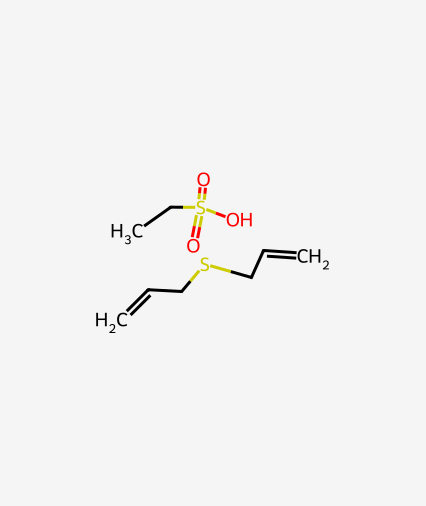 C=CCSCC=C.CCS(=O)(=O)O